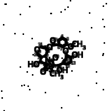 COc1cccc2c1Oc1cc(ccc1O)C(O)C13SSC4(C(=O)N1C)C(O)C1=COC=CC(OC2=O)C1N4C3=O